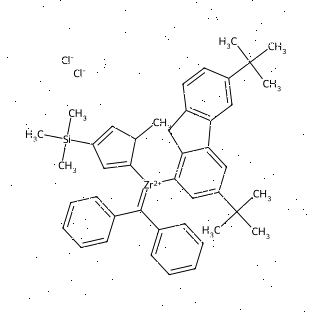 CC1C=C([Si](C)(C)C)C=[C]1[Zr+2](=[C](c1ccccc1)c1ccccc1)[c]1cc(C(C)(C)C)cc2c1Cc1ccc(C(C)(C)C)cc1-2.[Cl-].[Cl-]